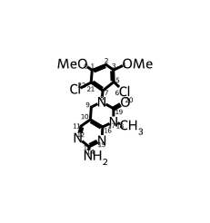 COc1cc(OC)c(Cl)c(N2Cc3cnc(N)nc3N(C)C2=O)c1Cl